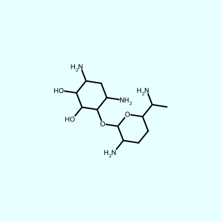 CC(N)C1CCC(N)C(OC2C(N)CC(N)C(O)C2O)O1